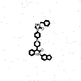 O=C(Nc1ccc2c(c1)CCC2)C(c1ccccc1)C1CCN(c2ccc(-n3cnn(Cc4ccccc4)c3=O)cc2)CC1